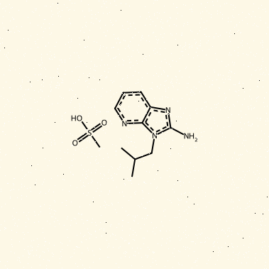 CC(C)Cn1c(N)nc2cccnc21.CS(=O)(=O)O